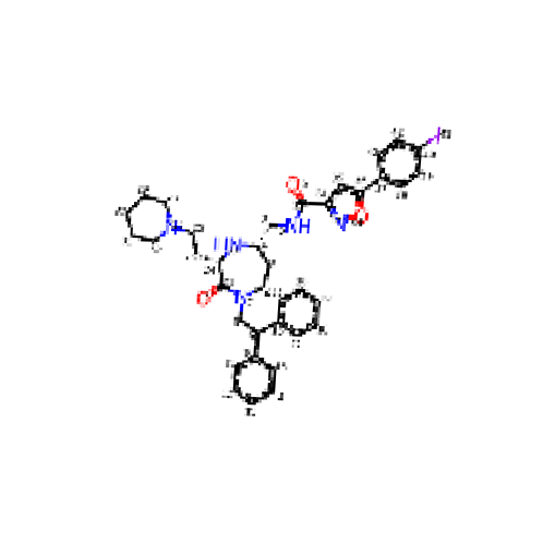 O=C(NC[C@@H]1CCN(CC(c2ccccc2)c2ccccc2)C(=O)[C@H](CCN2CCCCC2)N1)c1cc(-c2ccc(I)cc2)on1